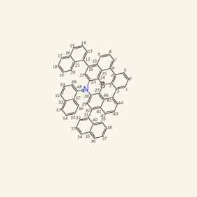 c1cc2c3c(c1)-c1cccc4c(-c5cccc6ccccc56)cc5c(c14)B3c1c(cc(-c3cccc4ccccc34)c3cccc-2c13)N5c1cccc2ccccc12